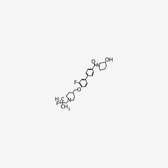 CC(C)(F)CN1CCC(COc2ccc(-c3ccc(C(=O)N4CCCC(O)C4)cc3)cc2F)CC1